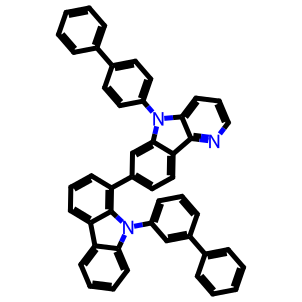 c1ccc(-c2ccc(-n3c4cc(-c5cccc6c7ccccc7n(-c7cccc(-c8ccccc8)c7)c56)ccc4c4ncccc43)cc2)cc1